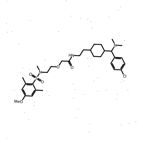 COc1cc(C)c(S(=O)(=O)N(C)CCOCC(=O)NCCC2CCC(C(c3ccc(Cl)cc3)N(C)C)CC2)c(C)c1